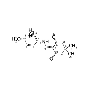 C=C(O)/C=C\C(=C/C)NC=C1C(=O)CC(C)(C)CC1=O